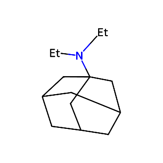 CCN(CC)C12CC3CC(CC(C3)C1)C2